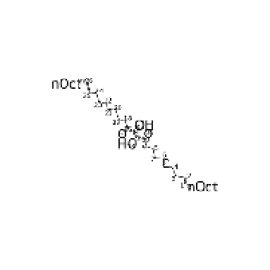 CCCCCCCCC=CCCCCCCCC(=O)C(O)C(O)C(=O)CCCCCCCC=CCCCCCCCC